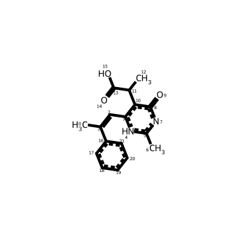 CC(=Cc1[nH]c(C)nc(=O)c1C(C)C(=O)O)c1ccccc1